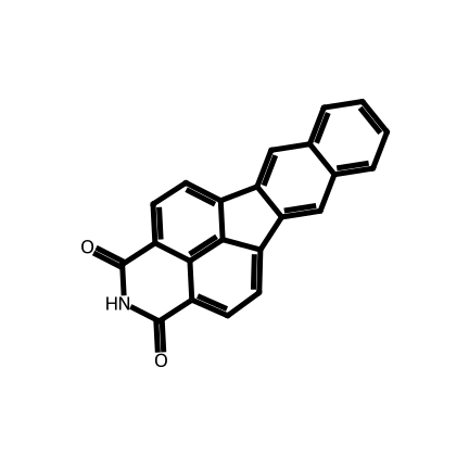 O=C1NC(=O)c2ccc3c4c(ccc1c24)-c1cc2ccccc2cc1-3